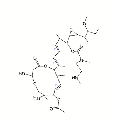 CCC(OC)C(C)C1OC1C(OC(=O)N(C)CCNC)C(C)/C=C/C=C(\C)C1OC(=O)CC(O)CCC(C)(O)C(OC(C)=O)/C=C/C1C